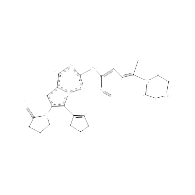 C=N/C(=C\C=C(/C)N1CCNCC1)Nc1ncc2cc(N3CCCC3=O)c(C3=CCCC3)n2n1